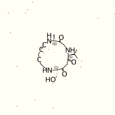 CC(C)[C@@H]1NCC(=O)[C@H](C)NCCCCCCN[C@@H](CO)C(=O)CC1=O